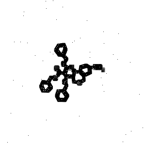 O=C(OCc1ccccc1)c1c(OCc2ccccc2)nc2c(c1OCc1ccccc1)COCc1cc([N+](=O)[O-])ccc1-2